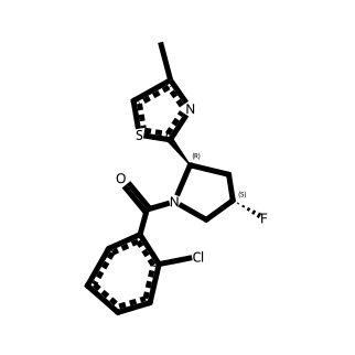 Cc1csc([C@H]2C[C@H](F)CN2C(=O)c2ccccc2Cl)n1